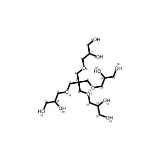 OCC(O)COCC(COCC(O)CO)(COCC(O)CO)COCC(O)CO